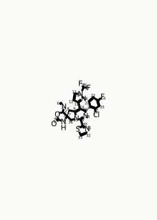 C=NC1OC(=O)N[C@]12CC1=C(c3ccn(C(F)F)n3)[C@H](c3ccc(F)cc3Cl)N=C(c3nccs3)N1C2